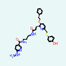 NNc1ccc(C(=O)NCCCNC(=O)/C=C/c2nc(CSc3ccc(O)cc3)ccc2OCCc2ccccc2)cn1